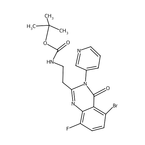 CC(C)(C)OC(=O)NCCc1nc2c(F)ccc(Br)c2c(=O)n1-c1cccnc1